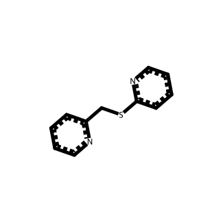 c1ccc(CSc2ccccn2)nc1